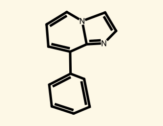 c1ccc(-c2cccn3ccnc23)cc1